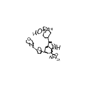 NC(=O)c1cc(-c2ccc(CN3CCOCC3)o2)cc2c(C3CCS(O)(O)CC3)c[nH]c12